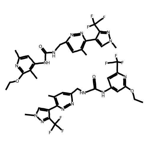 CCOc1cc(NC(=O)NCc2cc(C)c(-c3cn(C)nc3C(F)(F)F)nn2)cc(C(F)(F)F)n1.CCOc1nc(C)cc(NC(=O)NCc2cc(C)c(-c3cn(C)nc3C(F)(F)F)nn2)c1C